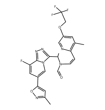 Cc1cc(-c2cc(F)c3nnc(C(C)N(C=O)/C=C\c4ncc(OCC(F)(F)F)cc4C)n3c2)on1